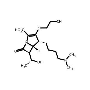 C[C@@H](O)[C@H]1C(=O)N2C(C(=O)O)=C(SCCC#N)[C@H](CCCCN(C)C)[C@H]12